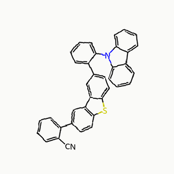 N#Cc1ccccc1-c1ccc2sc3ccc(-c4ccccc4-n4c5ccccc5c5ccccc54)cc3c2c1